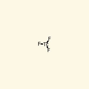 [F][Tc]([F])[F]